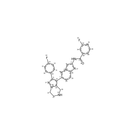 O=C(Nc1cn2nc(-c3c(-c4ccc(F)cc4)nn4c3CNCC4)ccc2n1)c1ccnc(F)c1